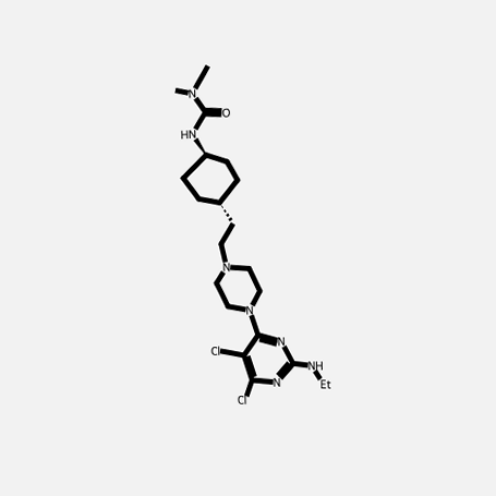 CCNc1nc(Cl)c(Cl)c(N2CCN(CC[C@H]3CC[C@H](NC(=O)N(C)C)CC3)CC2)n1